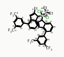 CCC1=Cc2c(-c3cc(C(F)(F)F)cc(C(F)(F)F)c3)cccc2[CH]1[Zr]([Cl])([Cl])([CH]1C(C)=Cc2c(-c3cc(C(F)(F)F)cc(C(F)(F)F)c3)cccc21)[SiH](CC)CC